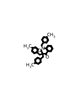 Cc1ccc(CN2C(=O)C(Cc3ccc(C)cc3)(Cc3ccc(C)cc3)C(=O)c3ccccc32)cc1